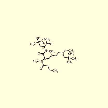 CCCC(=O)N(C)[C@H](CSCCN(CC)CC(C)(C)C)C(=O)N(C)[C@@H](CC(C)(C)O)C(N)=O